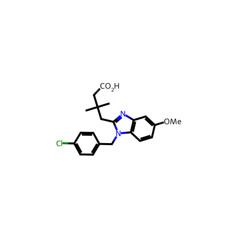 COc1ccc2c(c1)nc(CC(C)(C)CC(=O)O)n2Cc1ccc(Cl)cc1